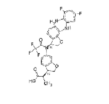 CC(C(=O)O)[C@@H]1COc2cc(N(C(=O)C(F)(F)F)[C@@H]3COc4c(Nc5cc(F)cc(F)c5N)cccc43)ccc21